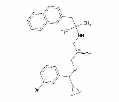 CC(C)(Cc1ccc2ccccc2c1)NC[C@@H](O)COC(c1cccc(Br)c1)C1CC1